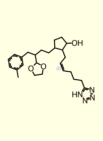 Cc1cccc(CC(CCC2CCC(O)C2C/C=C\CCCc2nnn[nH]2)C2OCCO2)c1